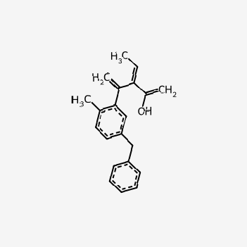 C=C(O)/C(=C/C)C(=C)c1cc(Cc2ccccc2)ccc1C